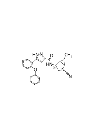 CC1C2C1N(C#N)C[C@H]2NC(=O)c1cc(-c2ccccc2Oc2ccccc2)[nH]n1